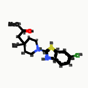 CCC1(CC(=O)OC)CCN(c2nc3ccc(Cl)cc3s2)CC1